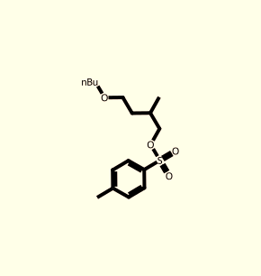 CCCCOCCC(C)COS(=O)(=O)c1ccc(C)cc1